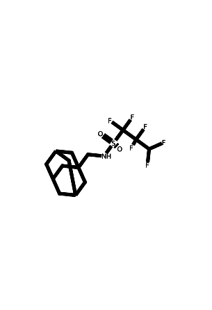 O=S(=O)(NCC12CC3CC(CC(C3)C1)C2)C(F)(F)C(F)(F)C(F)F